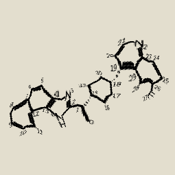 CC(c1nc2ccc3ccccc3c2[nH]1)[C@H]1CC[C@@H](c2ccnc3ccc(F)cc32)CC1